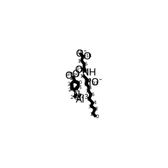 CCCCCCCCCCCCNC(=O)CCC(=O)[O-].CN(C)c1ccc(C(=O)[O-])cc1.[Al+3].[OH-]